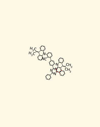 CC(C)=C1c2ccccc2N(c2cc(-c3cccc(N4c5ccccc5C(=C(C)C)c5ccccc54)c3C#N)ccc2-c2nc(-c3ccccc3)nc(-c3ccccc3)n2)c2ccccc21